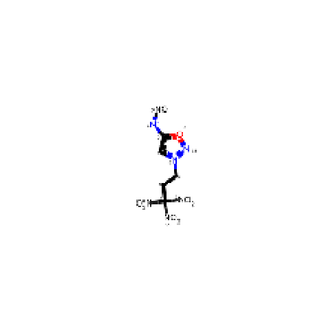 O=N[N-]c1c[n+](CCC([N+](=O)[O-])([N+](=O)[O-])[N+](=O)[O-])no1